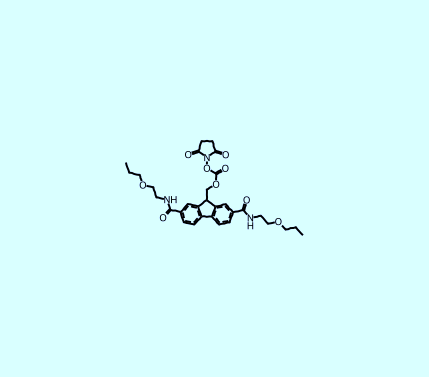 CCCOCCNC(=O)c1ccc2c(c1)C(COC(=O)ON1C(=O)CCC1=O)c1cc(C(=O)NCCOCCC)ccc1-2